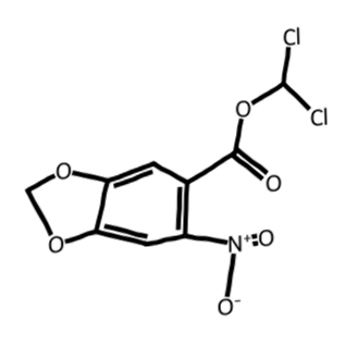 O=C(OC(Cl)Cl)c1cc2c(cc1[N+](=O)[O-])OCO2